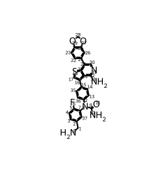 NCc1ccc(F)c(N(C(N)=O)c2ccc(-c3csc4c(-c5ccc6c(c5)OCO6)cnc(N)c34)cc2)c1